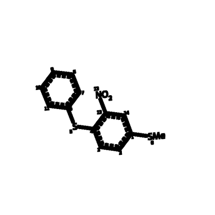 CSc1ccc(Sc2ccccc2)c([N+](=O)[O-])c1